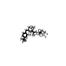 CC(C)(C)OCC(Br)C(=O)N[C@H](CO)Cc1ccc(C(F)(F)F)cc1